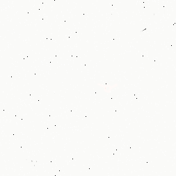 COc1cccc(-c2ccc(COc3cccc([C@H](CC(=O)O)C4CC4)c3)cc2C2=CCCC2(C)C)c1